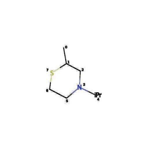 CC1CN(C(C)C)CCS1